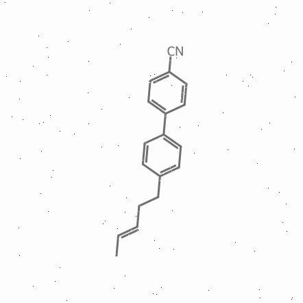 C/C=C/CCc1ccc(-c2ccc(C#N)cc2)cc1